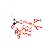 O=P(O)(O)O.O=P(O)(O)OF.[O]=[Zr]([OH])[F]